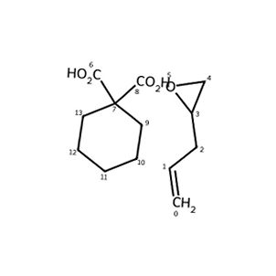 C=CCC1CO1.O=C(O)C1(C(=O)O)CCCCC1